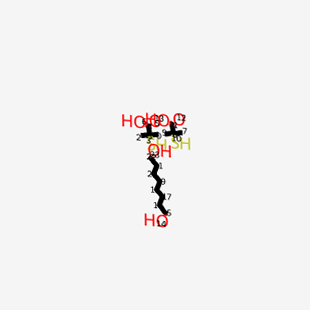 CC(C)(S)C(=O)O.CC(C)(S)C(=O)O.OCCCCCCCCO